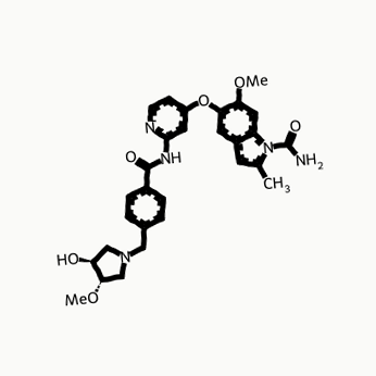 COc1cc2c(cc1Oc1ccnc(NC(=O)c3ccc(CN4C[C@H](OC)[C@@H](O)C4)cc3)c1)cc(C)n2C(N)=O